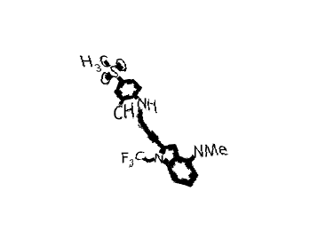 CNc1cccc2c1cc(C#CCNc1ccc(S(C)(=O)=O)cc1C)n2CC(F)(F)F